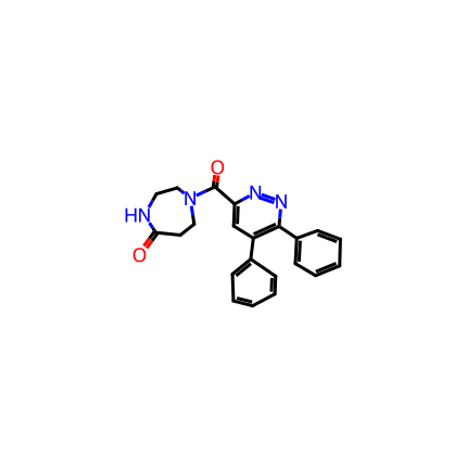 O=C1CCN(C(=O)c2cc(-c3ccccc3)c(-c3ccccc3)nn2)CCN1